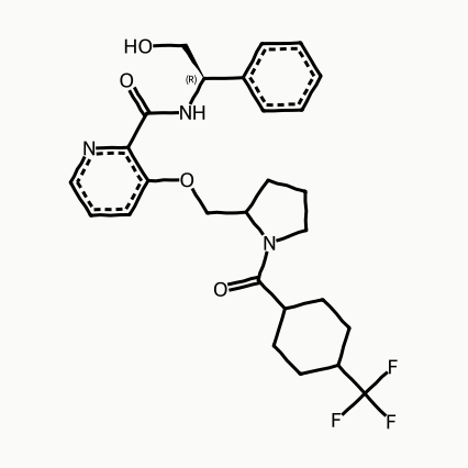 O=C(N[C@@H](CO)c1ccccc1)c1ncccc1OCC1CCCN1C(=O)C1CCC(C(F)(F)F)CC1